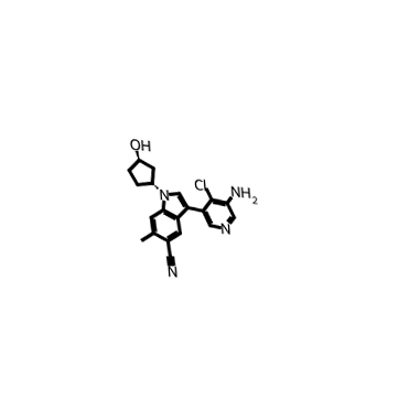 Cc1cc2c(cc1C#N)c(-c1cncc(N)c1Cl)cn2[C@@H]1CC[C@@H](O)C1